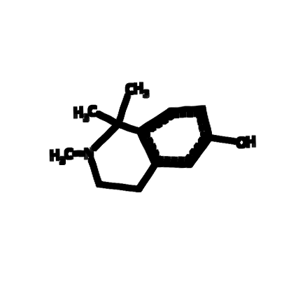 CN1CCc2cc(O)ccc2C1(C)C